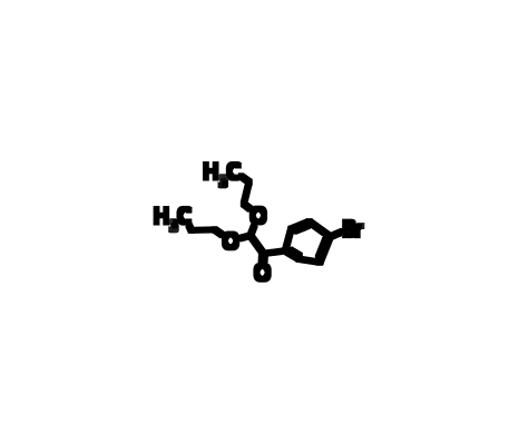 CCCOC(OCCC)C(=O)c1ccc(Br)cc1